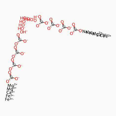 O=[Si]([O-])[O-].O=[Si]([O-])[O-].O=[Si]([O-])[O-].O=[Si]([O-])[O-].O=[Si]([O-])[O-].O=[Si]([O-])[O-].O=[Si]([O-])[O-].O=[Si]([O-])[O-].[Ca+2].[Ca+2].[Ca+2].[Fe+3].[Fe+3].[Fe+3].[Mg+2].[Mg+2].[Mg+2].[Na+].[Na+].[Na+].[OH-].[OH-].[OH-].[OH-].[OH-].[OH-].[OH-].[OH-]